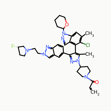 C=CC(=O)N1CCC(n2nc(-c3ccc4nn(CCN5CC[C@H](F)C5)cc4c3)c(-c3c(Cl)c(C)cc4c3cnn4C3CCCCO3)c2C)CC1